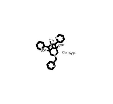 CN1C(c2ccccn2)C2(C(=O)[O-])CN(Cc3ccccn3)CC(C(=O)[O-])(C1c1ccccn1)C2(O)O.[Cl-].[Cl-].[Fe+2].[Fe+2]